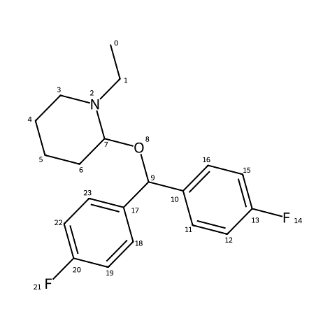 CCN1CCCCC1OC(c1ccc(F)cc1)c1ccc(F)cc1